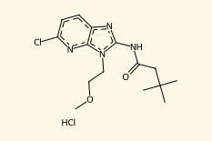 COCCn1c(NC(=O)CC(C)(C)C)nc2ccc(Cl)nc21.Cl